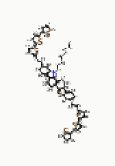 CCCCCCCCn1c2cc(/C=C/c3ccc(-c4ccc(-c5cccs5)s4)s3)ccc2c2ccc3c(ccc4c5ccc(/C=C/c6ccc(-c7ccc(-c8cccs8)s7)s6)cc5sc43)c21